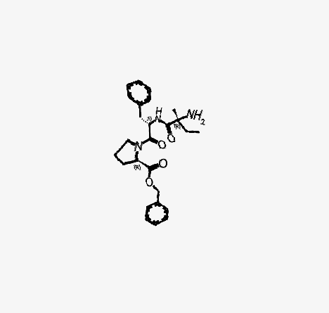 CC[C@@](C)(N)C(=O)N[C@@H](Cc1ccccc1)C(=O)N1CCC[C@@H]1C(=O)OCc1ccccc1